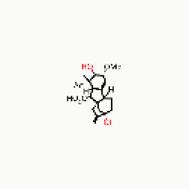 C=C1C[C@]23C[C@@]1(O)CC[C@H]2C1=C[C@@H](OC)[C@H](O)[C@@](C)(C(C)=O)[C@H]1[C@@H]3C(=O)O